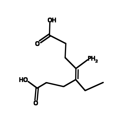 CCC(CCC(=O)O)=C(P)CCC(=O)O